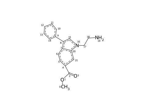 COC(=O)c1ccc2c(-c3ccccc3)cn(CCN)c2c1